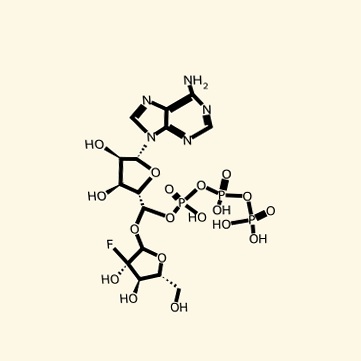 Nc1ncnc2c1ncn2[C@@H]1O[C@H](C(OC2O[C@H](CO)[C@@H](O)[C@@]2(O)F)OP(=O)(O)OP(=O)(O)OP(=O)(O)O)[C@@H](O)[C@H]1O